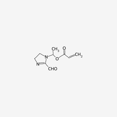 C=CC(=O)OC(C)N1CCN=C1C=O